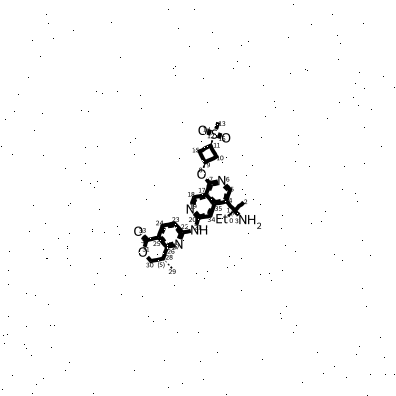 CC[C@@](C)(N)c1cnc(O[C@H]2C[C@@H](S(C)(=O)=O)C2)c2cnc(Nc3ccc4c(n3)[C@H](C)COC4=O)cc12